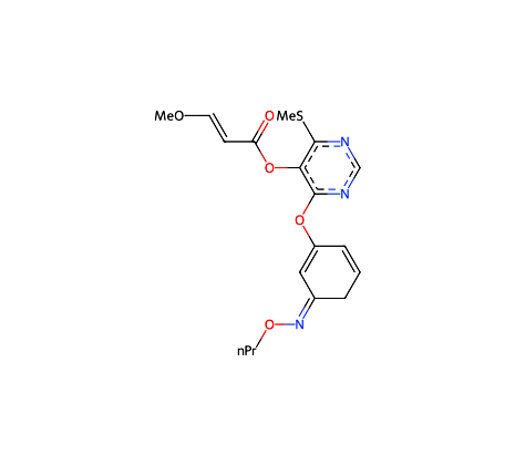 CCCON=C1C=C(Oc2ncnc(SC)c2OC(=O)C=COC)C=CC1